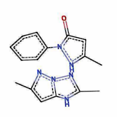 Cc1cc(=O)n(-c2ccccc2)[nH]1.Cc1cc2[nH]c(C)nn2n1